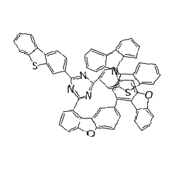 c1ccc2c(c1)oc1cc(-n3c4ccccc4c4ccccc43)cc(-c3ccc4oc5cccc(-c6nc(-c7ccc8c(c7)sc7ccccc78)nc(-c7ccc8c(c7)sc7ccccc78)n6)c5c4c3)c12